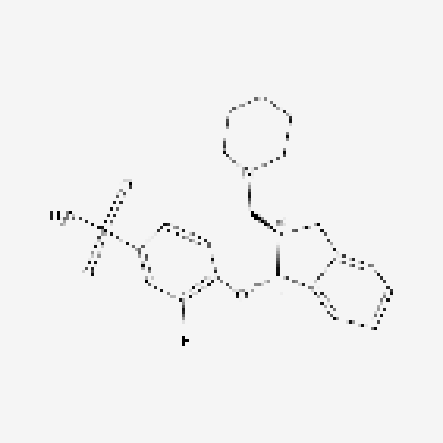 NS(=O)(=O)c1ccc(O[C@H]2c3ccccc3C[C@@H]2CN2CCCCC2)c(F)c1